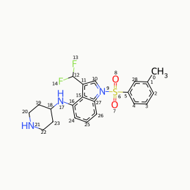 Cc1cccc(S(=O)(=O)n2cc(C(F)F)c3c(NC4CCNCC4)cccc32)c1